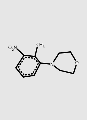 Cc1c(N2CCOCC2)cccc1[N+](=O)[O-]